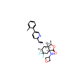 Cc1ccccc1-c1ccc(/C=C/[C@@H]2[C@@H]3[C@@H](C)OC(=O)[C@]3(NC3COC3)CC(F)(F)[C@H]2C)nc1